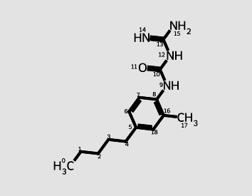 CCCCCc1ccc(NC(=O)NC(=N)N)c(C)c1